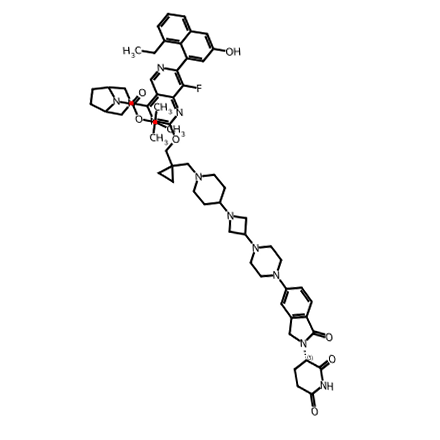 CCc1cccc2cc(O)cc(-c3ncc4c(N5CC6CCC(C5)N6C(=O)OC(C)(C)C)nc(OCC5(CN6CCC(N7CC(N8CCN(c9ccc%10c(c9)CN([C@H]9CCC(=O)NC9=O)C%10=O)CC8)C7)CC6)CC5)nc4c3F)c12